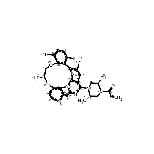 C=CC(=O)N1C[C@H](C)N(c2nc(=O)n3c4nc(c(F)cc24)-c2c(F)ccc(F)c2OC[C@H](C)Oc2ccnc(C(C)C)c2-3)C[C@H]1C